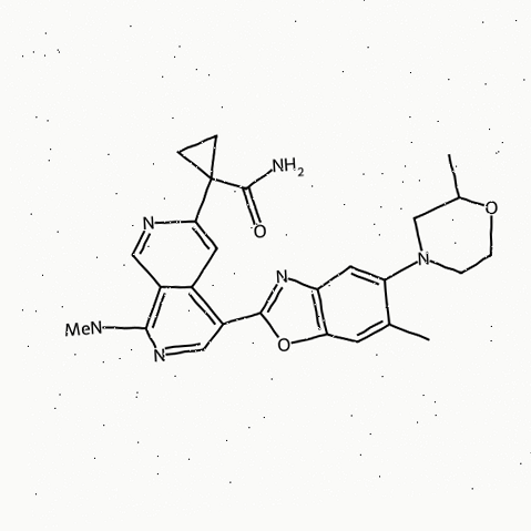 CNc1ncc(-c2nc3cc(N4CCOC(C)C4)c(C)cc3o2)c2cc(C3(C(N)=O)CC3)ncc12